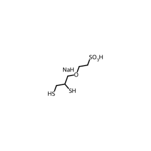 O=S(=O)(O)CCOCC(S)CS.[NaH]